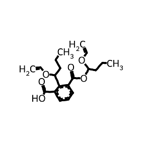 C=COC(CCC)OC(=O)c1cccc(C(=O)O)c1C(CCC)OC=C